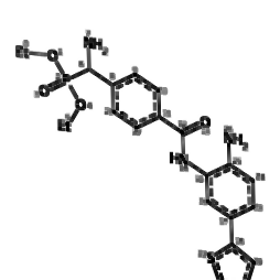 CCOP(=O)(OCC)C(N)c1ccc(C(=O)Nc2cc(-c3cccs3)ccc2N)cc1